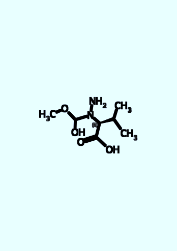 COC(O)N(N)[C@H](C(=O)O)C(C)C